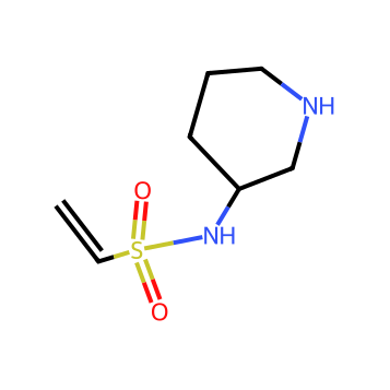 C=CS(=O)(=O)NC1CCCNC1